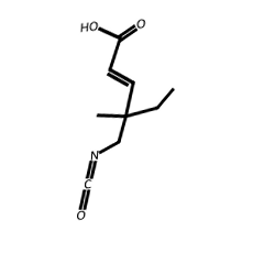 CCC(C)(C=CC(=O)O)CN=C=O